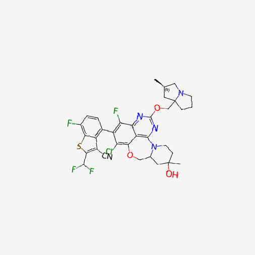 C[C@H]1CN2CCCC2(COc2nc3c4c(c(Cl)c(-c5ccc(F)c6sc(C(F)F)c(C#N)c56)c(F)c4n2)OCC2CC(C)(O)CCN32)C1